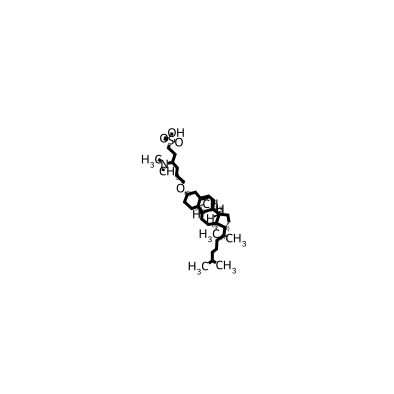 CC(C)CCC[C@@H](C)[C@H]1CC[C@H]2[C@@H]3CC=C4C[C@@H](OCCCC(CCS(=O)(=O)O)N(C)C)CC[C@]4(C)[C@H]3CC[C@]12C